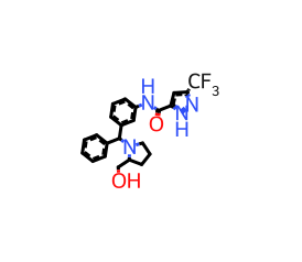 O=C(Nc1cccc(C(c2ccccc2)N2CCCC2CO)c1)c1cc(C(F)(F)F)n[nH]1